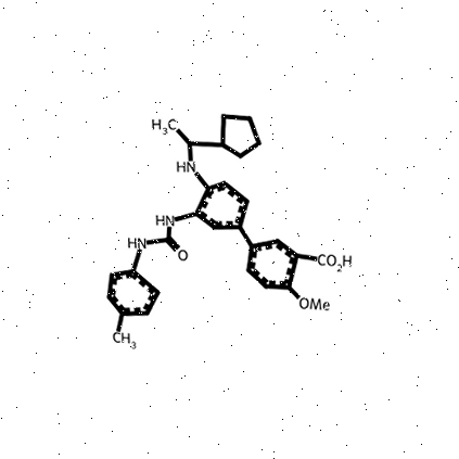 COc1ccc(-c2ccc(NC(C)C3CCCC3)c(NC(=O)Nc3ccc(C)cc3)c2)cc1C(=O)O